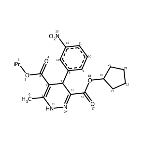 CC1=C(C(=O)OC(C)C)C(c2cccc([N+](=O)[O-])c2)C(C(=O)OC2CCCC2)=NN1